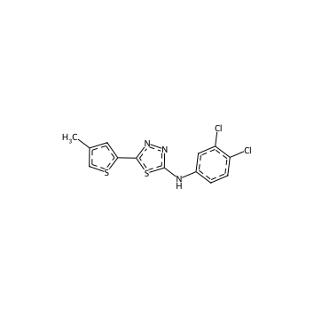 Cc1csc(-c2nnc(Nc3ccc(Cl)c(Cl)c3)s2)c1